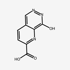 O=C(O)c1ccc2cnnc(O)c2n1